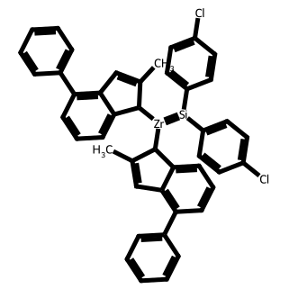 CC1=Cc2c(-c3ccccc3)cccc2[CH]1[Zr]([CH]1C(C)=Cc2c(-c3ccccc3)cccc21)=[Si](c1ccc(Cl)cc1)c1ccc(Cl)cc1